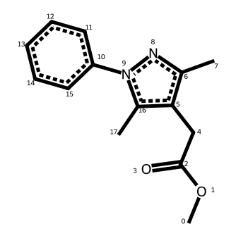 COC(=O)Cc1c(C)nn(-c2ccccc2)c1C